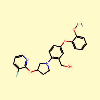 COc1ccccc1Oc1ccc(N2CCC(Oc3ncccc3F)C2)c(CO)c1